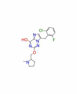 CN1CCCC1COc1nc(O)c2ncc(Cc3c(F)cccc3Cl)n2n1